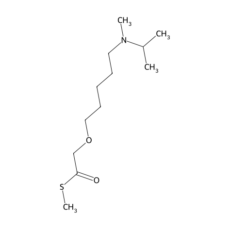 CSC(=O)COCCCCCN(C)C(C)C